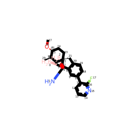 BC1(B)OC(N)=N[C@]12c1cc(-c3cccnc3F)ccc1C[C@]21CC[C@@H](OC)[C@H](C)C1